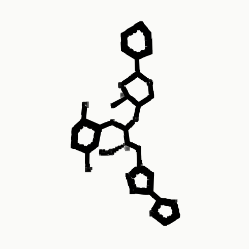 CO[C@@H](Cn1cc(-c2nccs2)nn1)C(OC1COC(c2ccccc2)O[C@@H]1C)Sc1cc(Br)ccc1Cl